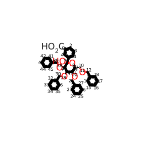 O=C(O)c1cccc(C2(O)O[C@H](COCc3ccccc3)[C@@H](OCc3ccccc3)[C@H](OCc3ccccc3)[C@H]2OCc2ccccc2)c1